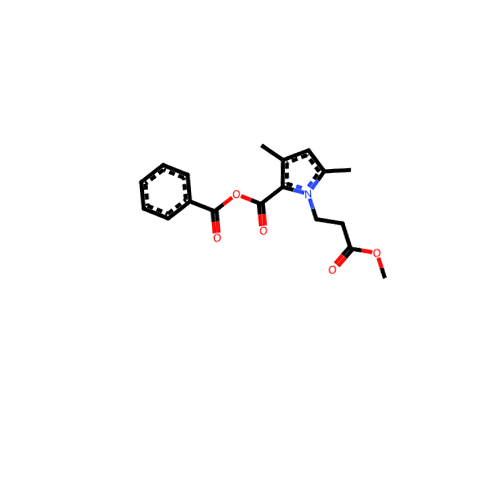 COC(=O)CCn1c(C)cc(C)c1C(=O)OC(=O)c1ccccc1